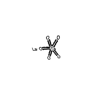 [La].[O]=[Ta](=[O])(=[O])(=[O])=[O]